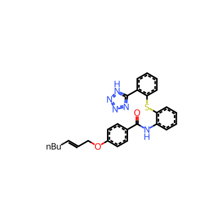 CCCCC=CCOc1ccc(C(=O)Nc2ccccc2Sc2ccccc2-c2nnn[nH]2)cc1